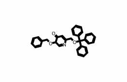 O=C1C=C(COC(c2ccccc2)(c2ccccc2)c2ccccc2)N=CC1OCc1ccccc1